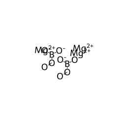 [Mg+2].[Mg+2].[Mg+2].[O-]OB([O-])[O-].[O-]OB([O-])[O-]